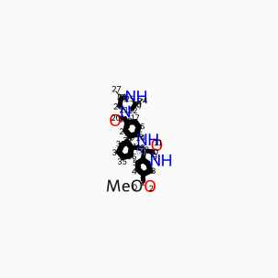 COC(=O)c1ccc2c(c1)NC(=O)/C2=C(\Nc1ccc(C(=O)N2C[C@@H](C)N[C@@H](C)C2)cc1)c1ccccc1